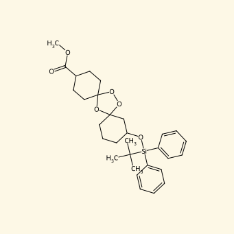 COC(=O)C1CCC2(CC1)OOC1(CCCC(O[Si](c3ccccc3)(c3ccccc3)C(C)(C)C)C1)O2